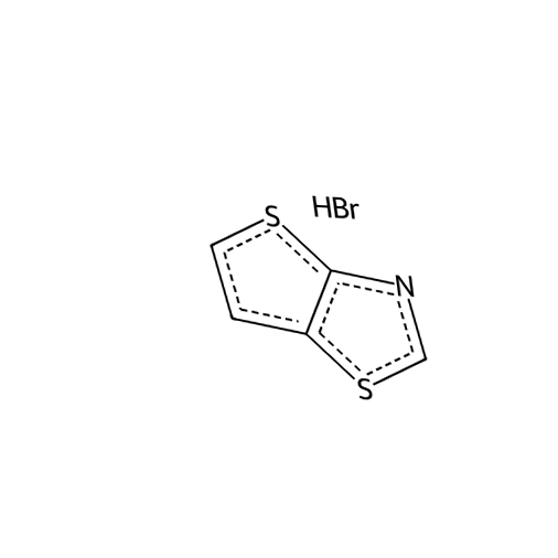 Br.c1nc2sccc2s1